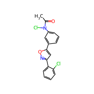 CC(=O)N(Cl)c1cccc(-c2cc(-c3ccccc3Cl)no2)c1